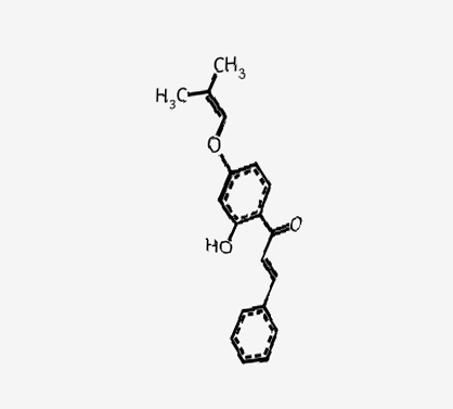 CC(C)=COc1ccc(C(=O)C=Cc2ccccc2)c(O)c1